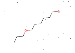 CCCOCCCCCCBr